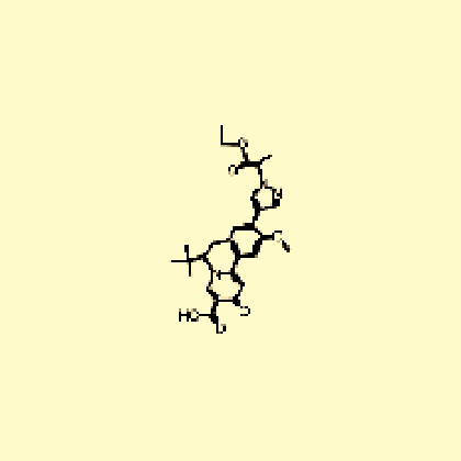 CCOC(=O)C(C)n1cc(-c2cc3c(cc2OC)-c2cc(=O)c(C(=O)O)cn2C(C(C)(C)C)C3)cn1